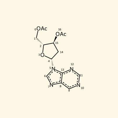 CC(=O)OC[C@H]1O[C@@H](n2cnc3cncnc32)C[C@@H]1OC(C)=O